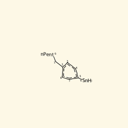 CCCCCCc1cc[c]([SnH])cc1